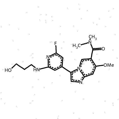 COc1cc2ncc(-c3cc(F)nc(NCCCO)c3)n2cc1C(=O)N(C)C